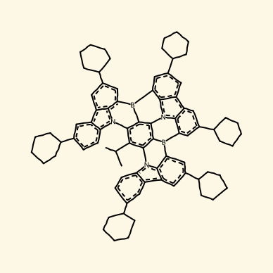 CC(C)c1c2c3c4c5c1-n1c6ccc(C7CCCCC7)cc6c6cc(C7CCCCC7)cc(c61)B5c1cc(C5CCCCC5)cc5c6cc(C7CCCCC7)cc(c6n-4c15)B3c1cc(C3CCCCC3)cc3c4cc(C5CCCCC5)ccc4n-2c13